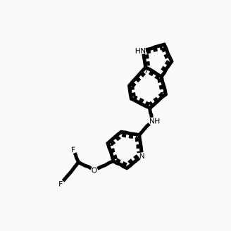 FC(F)Oc1ccc(Nc2ccc3[nH]ccc3c2)nc1